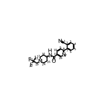 N#Cc1ccccc1-c1ccc(C(=O)NC2CCN(CC(F)(F)I)CC2)cn1